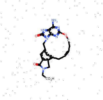 Nc1nc2nc3c1[nH]c(=O)n3Cc1cc(c3c(c1)C(=O)N(CC(=O)O)C3)C/C=C\CCO2